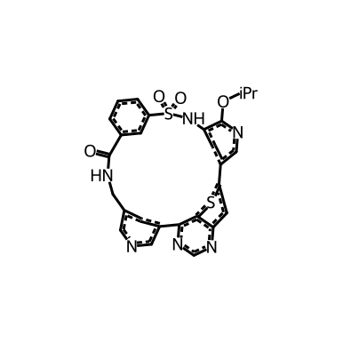 CC(C)Oc1ncc2cc1NS(=O)(=O)c1cccc(c1)C(=O)NCc1cncc(c1)-c1ncnc3cc-2sc13